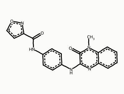 Cn1c(=O)c(Nc2ccc(NC(=O)c3ccon3)cc2)nc2ccccc21